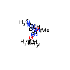 CNC(=O)c1cnc2c(ccn2COCC[Si](C)(C)C)c1Nc1cccc2c1N(C)Cc1cn(C)nc1-2